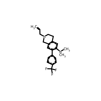 C=CCN1CCc2cc(N(C)C)c(-c3ccc(C(F)(F)F)cc3)cc2C1